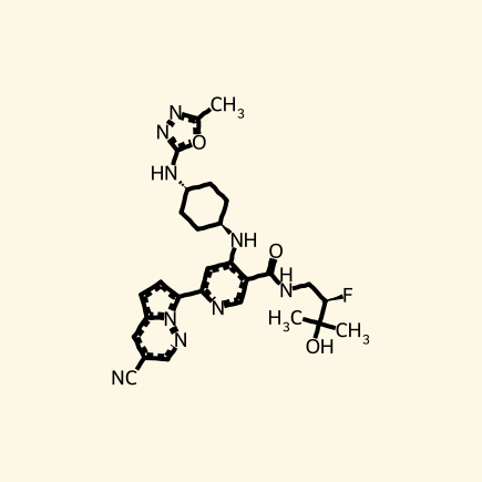 Cc1nnc(N[C@H]2CC[C@H](Nc3cc(-c4ccc5cc(C#N)cnn45)ncc3C(=O)NC[C@@H](F)C(C)(C)O)CC2)o1